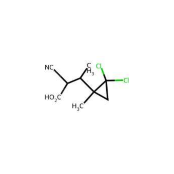 CC(C(C#N)C(=O)O)C1(C)CC1(Cl)Cl